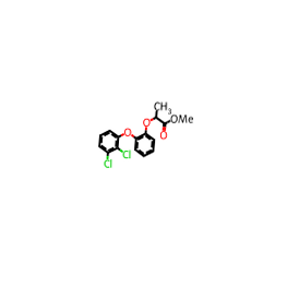 COC(=O)C(C)Oc1ccccc1Oc1cccc(Cl)c1Cl